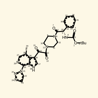 CC(C)(C)OC(=O)N[C@H](C(=O)N1CCN(C(=O)C(=O)c2c[nH]c3c(-n4ccnn4)ncc(F)c23)CC1)c1ccccc1